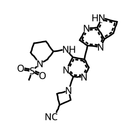 CS(=O)(=O)N1CCCC(Nc2nc(N3CC(C#N)C3)ncc2-c2cnc3[nH]ccc3n2)C1